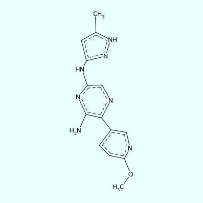 COc1ccc(-c2ncc(Nc3cc(C)[nH]n3)nc2N)cn1